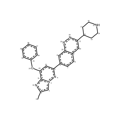 Cc1cn2nc(-c3ccc4cc(C5CCNCC5)nnc4c3)cc(Oc3ccccc3)c2n1